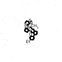 CCc1ccc(-c2cccc3cc([C@H](C)Nc4nccc5scnc45)n(-c4ccccc4)c(=O)c23)cc1